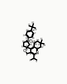 CC(C)c1nc2c(c3c1COC31CC[C@@H](c3ccc(C(C)(C)C)cc3)C1)[C@H](O)CC(C)(C)C2